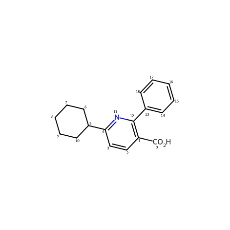 O=C(O)c1ccc(C2CCCCC2)nc1-c1ccccc1